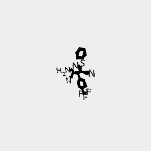 N#Cc1c(N)nc(Sc2ccccc2)c(C#N)c1-c1ccc(C(F)(F)F)cc1